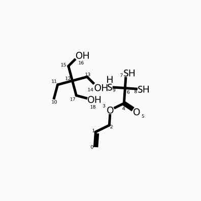 C=CCOC(=O)C(S)(S)S.CCC(CO)(CO)CO